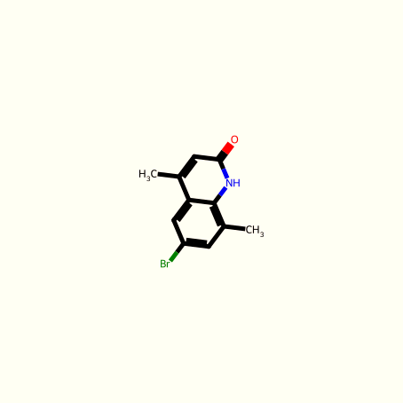 Cc1cc(=O)[nH]c2c(C)cc(Br)cc12